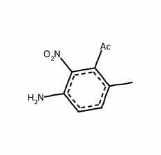 CC(=O)c1c(C)ccc(N)c1[N+](=O)[O-]